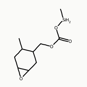 C[SiH2]OC(=O)OCC1CC2OC2CC1C